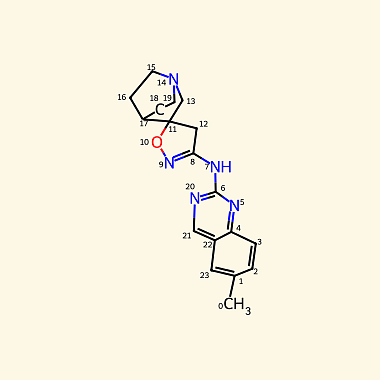 Cc1ccc2nc(NC3=NOC4(C3)CN3CCC4CC3)ncc2c1